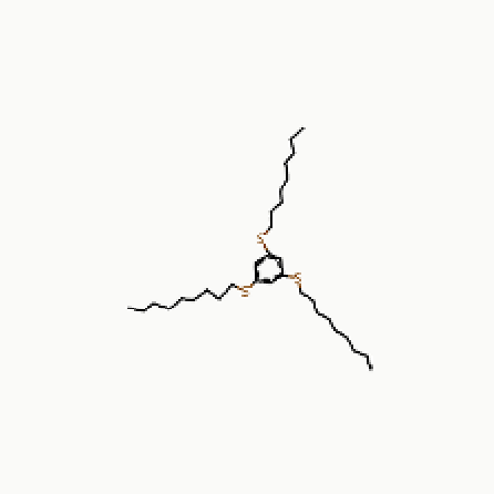 CCCCCCCCCSc1cc(SCCCCCCCCC)cc(SCCCCCCCCC)c1